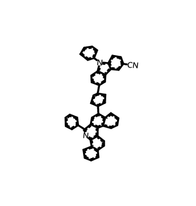 N#Cc1ccc2c(c1)c1cc(-c3ccc(-c4cc5c(-c6ccccc6)nc6c7ccccc7ccc6c5c5ccccc45)cc3)ccc1n2-c1ccccc1